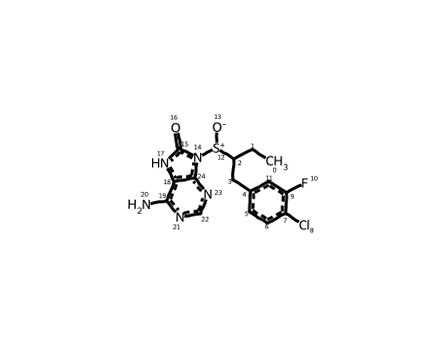 CCC(Cc1ccc(Cl)c(F)c1)[S+]([O-])n1c(=O)[nH]c2c(N)ncnc21